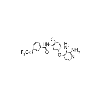 Nc1nccc(Oc2ccc(Cl)c(NC(=O)c3cccc(OC(F)(F)F)c3)c2)c1N